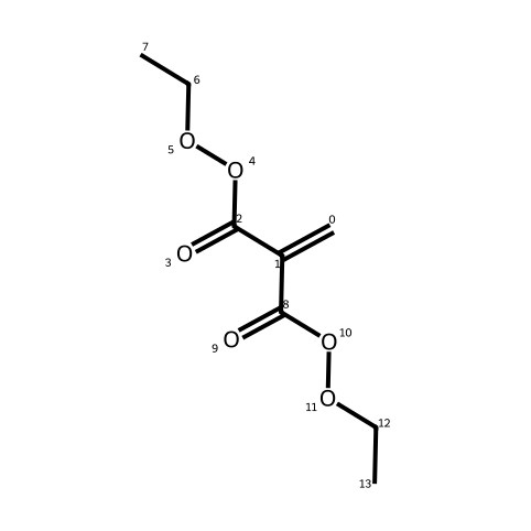 C=C(C(=O)OOCC)C(=O)OOCC